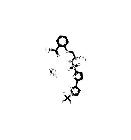 CC.C[C@@H](COc1ccccc1C(N)=O)NS(=O)(=O)c1ccc(-c2ccn(C(F)(F)F)n2)s1